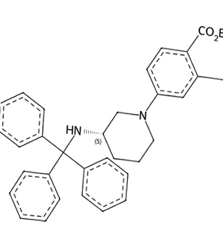 CCOC(=O)c1ccc(N2CCC[C@H](NC(c3ccccc3)(c3ccccc3)c3ccccc3)C2)cc1C